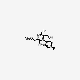 CCCCCc1c(COC)nc(C(C)C)c(CO)c1-c1ccc(F)cc1